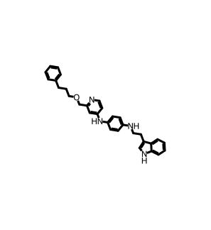 c1ccc(CCCOCc2cc(Nc3ccc(NCCc4c[nH]c5ccccc45)cc3)ccn2)cc1